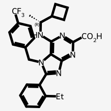 CCc1ccccc1-c1nc2nc(C(=O)O)nc(N[C@H](C)C3CCC3)c2n1Cc1ccc(C(F)(F)F)cc1